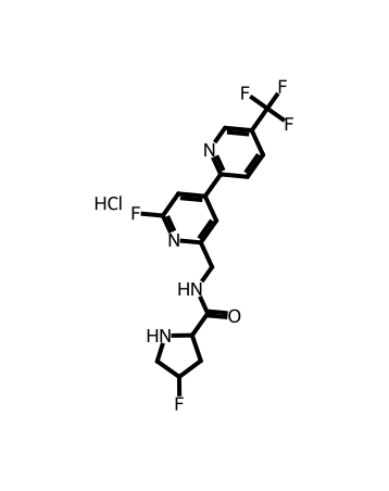 Cl.O=C(NCc1cc(-c2ccc(C(F)(F)F)cn2)cc(F)n1)C1CC(F)CN1